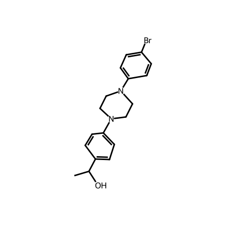 CC(O)c1ccc(N2CCN(c3ccc(Br)cc3)CC2)cc1